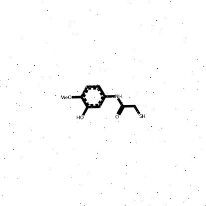 COc1ccc(NC(=O)CS)cc1O